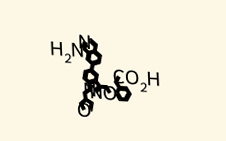 Nc1nccc2ccc(-c3ccc4c(c3)c(COc3ccccc3CC(=O)O)nn4CC3CCOC3)cc12